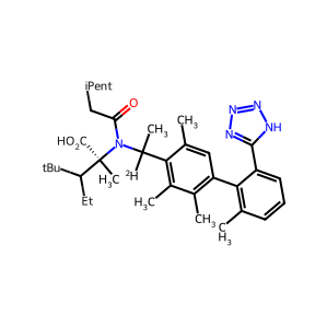 [2H]C(C)(c1c(C)cc(-c2c(C)cccc2-c2nnn[nH]2)c(C)c1C)N(C(=O)CC(C)CCC)[C@](C)(C(=O)O)C(CC)C(C)(C)C